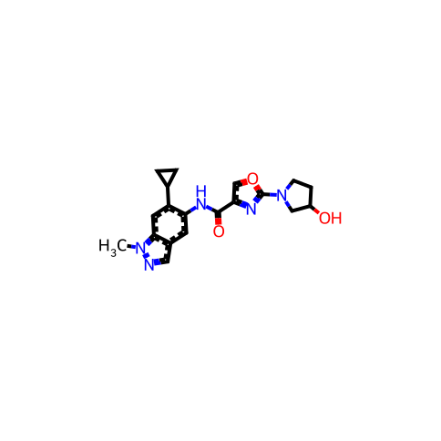 Cn1ncc2cc(NC(=O)c3coc(N4CCC(O)C4)n3)c(C3CC3)cc21